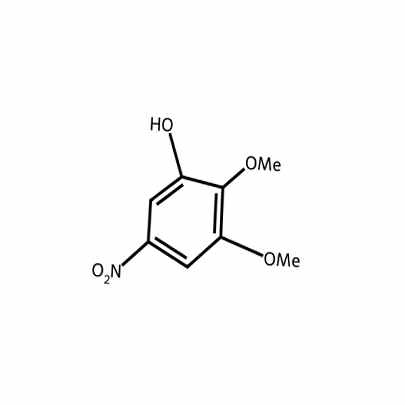 COc1cc([N+](=O)[O-])cc(O)c1OC